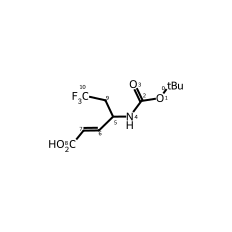 CC(C)(C)OC(=O)NC(C=CC(=O)O)CC(F)(F)F